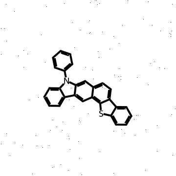 c1ccc(-n2c3ccccc3c3cc4c(ccc5c6ccccc6sc45)cc32)cc1